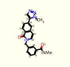 CNC(=O)c1cccc(Cn2ccc3cc(-c4cnnn4C)ccc3c2=O)c1